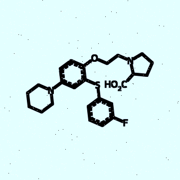 O=C(O)C1CCCN1CCOc1ccc(N2CCCCC2)cc1Sc1cccc(F)c1